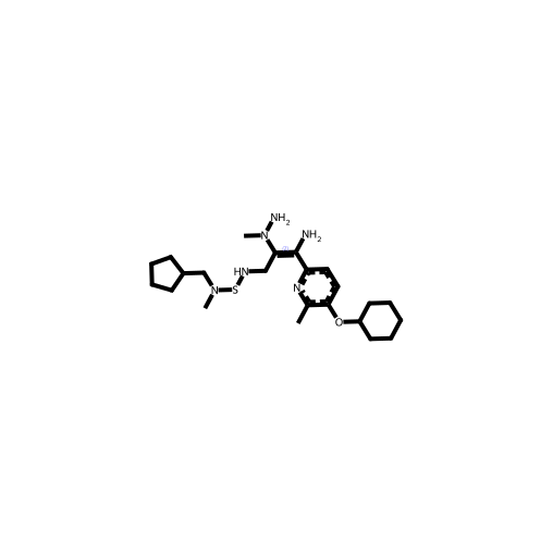 Cc1nc(/C(N)=C(\CNSN(C)CC2CCCC2)N(C)N)ccc1OC1CCCCC1